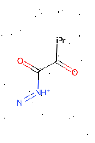 CC(C)C(=O)C(=O)[NH+]=[N-]